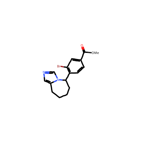 COC(=O)c1ccc(C2CCCCc3cncn32)c(Br)c1